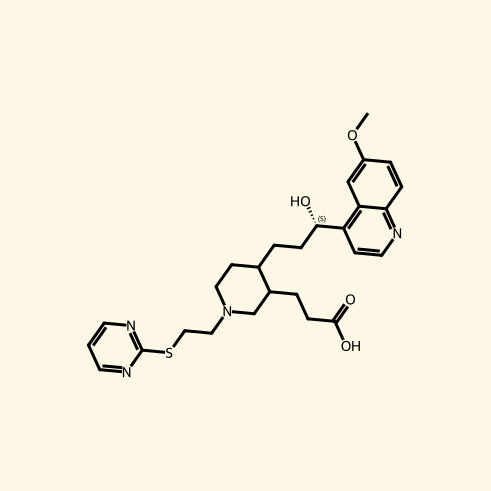 COc1ccc2nccc([C@@H](O)CCC3CCN(CCSc4ncccn4)CC3CCC(=O)O)c2c1